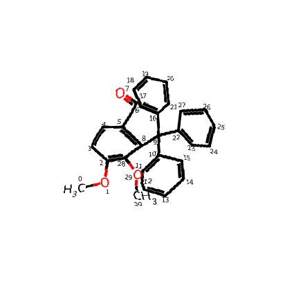 COc1ccc([C]=O)c(C(c2ccccc2)(c2ccccc2)c2ccccc2)c1OC